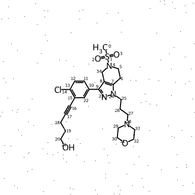 CS(=O)(=O)N1CCc2c(c(-c3ccc(Cl)c(C#CCCCO)c3)nn2CCCN2CCOCC2)C1